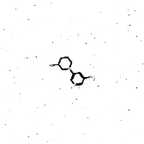 Nc1cncc(N2CCC[C@H](O)C2)c1